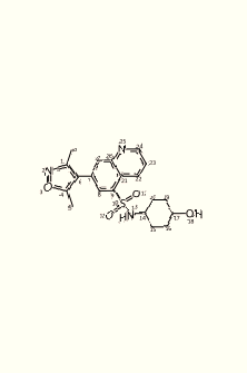 Cc1noc(C)c1-c1cc(S(=O)(=O)NC2CCC(O)CC2)c2cccnc2c1